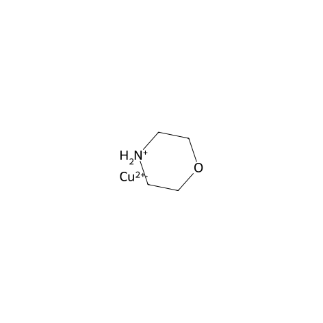 C1COCC[NH2+]1.[Cu+2]